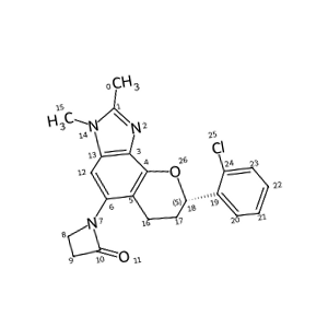 Cc1nc2c3c(c(N4CCC4=O)cc2n1C)CC[C@@H](c1ccccc1Cl)O3